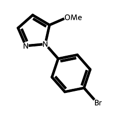 COc1ccnn1-c1ccc(Br)cc1